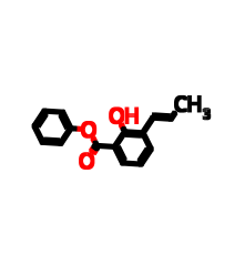 CC=Cc1cccc(C(=O)Oc2ccccc2)c1O